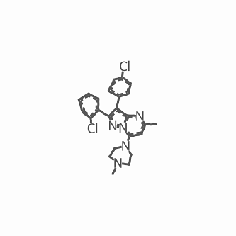 Cc1cc(N2CCN(C)CC2)n2nc(-c3ccccc3Cl)c(-c3ccc(Cl)cc3)c2n1